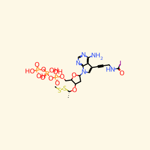 CSS[C@@H](C)OC1CC(n2cc(C#CCNC(=O)I)c3c(N)ncnc32)OC1COP(=O)(O)OP(=O)(O)OP(=O)(O)O